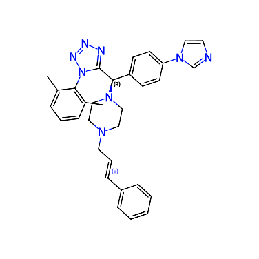 Cc1cccc(C)c1-n1nnnc1[C@@H](c1ccc(-n2ccnc2)cc1)N1CCN(C/C=C/c2ccccc2)CC1